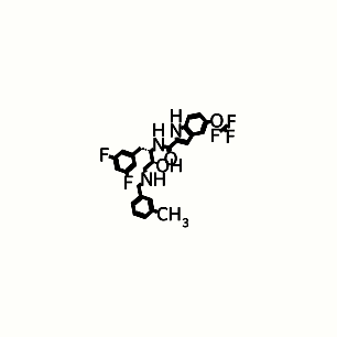 Cc1cccc(CNC[C@@H](O)[C@H](Cc2cc(F)cc(F)c2)NC(=O)c2cc3cc(OC(F)(F)F)ccc3[nH]2)c1